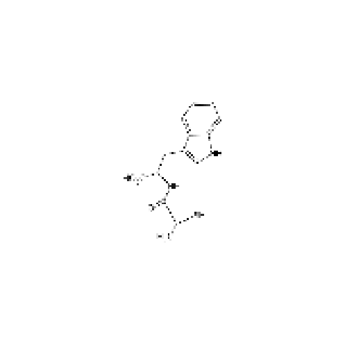 CC(S)C(=O)NC(Cc1c[nH]c2ccccc12)C(=O)O